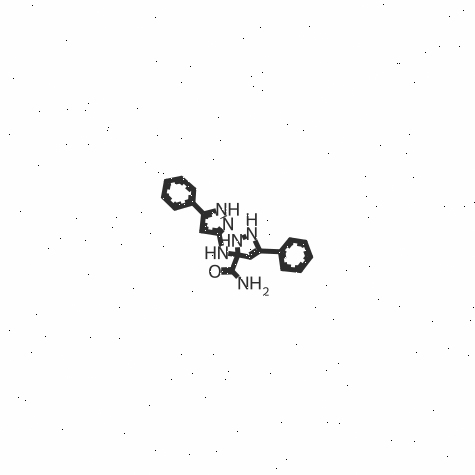 NC(=O)C1(Nc2cc(-c3ccccc3)[nH]n2)C=C(c2ccccc2)NN1